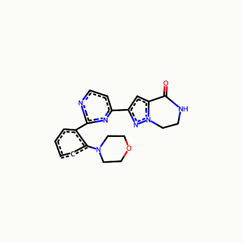 O=C1NCCn2nc(-c3ccnc(-c4ccccc4N4CCOCC4)n3)cc21